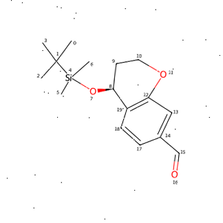 CC(C)(C)[Si](C)(C)O[C@H]1CCOc2cc(C=O)ccc21